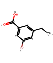 CCc1cc(Br)cc(C(=O)O)c1